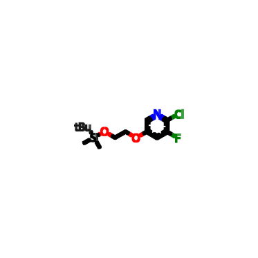 CC(C)(C)[Si](C)(C)OCCOc1cnc(Cl)c(F)c1